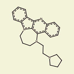 c1ccc2c3c4c(nc2c1)c1ccccc1n4CCCN3CCN1CCCC1